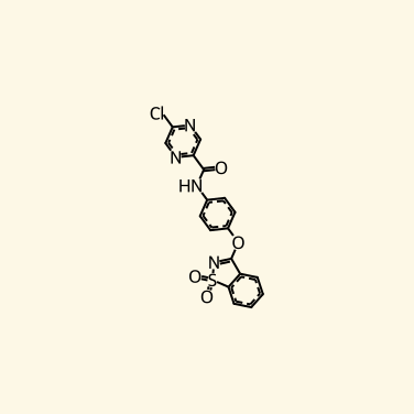 O=C(Nc1ccc(OC2=NS(=O)(=O)c3ccccc32)cc1)c1cnc(Cl)cn1